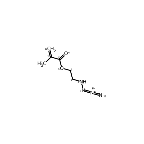 C=C(C)C(=O)OCCNN=[N+]=[N-]